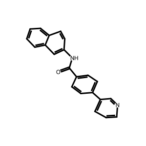 O=C(Nc1ccc2ccccc2c1)c1ccc(-c2cccnc2)cc1